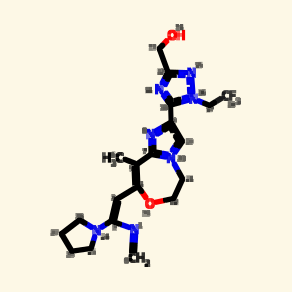 C=N/C(=C\C1=C(C)c2nc(-c3nc(CO)nn3CC(F)(F)F)cn2CCO1)N1CCCC1